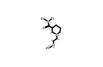 CCN(CC)C(=O)C1CCCN(CCOC(C)C)C1